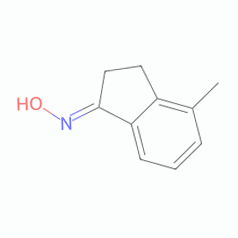 Cc1cccc2c1CCC2=NO